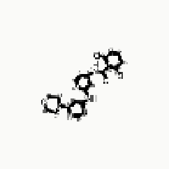 O=C(Nc1ccnc(Nc2cc(N3CCOCC3)ncn2)c1)c1c(Cl)cccc1Cl